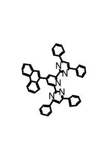 c1ccc(-c2cc(-c3ccccc3)nc(-c3cc(-c4cc5ccccc5c5ccccc45)cc(-c4nc(-c5ccccc5)cc(-c5ccccc5)n4)n3)n2)cc1